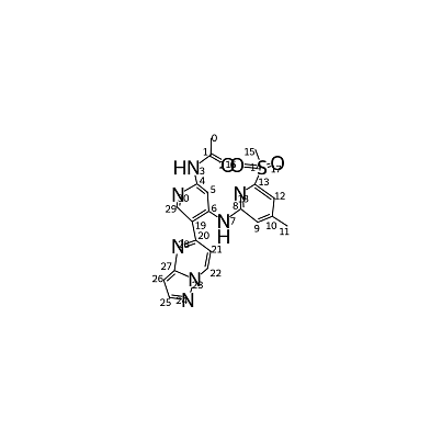 CC(=O)Nc1cc(Nc2cc(C)cc(S(C)(=O)=O)n2)c(-c2ccn3nccc3n2)cn1